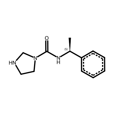 C[C@H](NC(=O)N1CCNC1)c1ccccc1